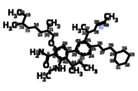 C=CNc1c(C(N)=O)c(OC[C@H](C)CCCC(C)CC)cc(-c2ccc(CCCC3CCCCC3)c(C(C)C/C=C/C)c2)c1C(C)CC